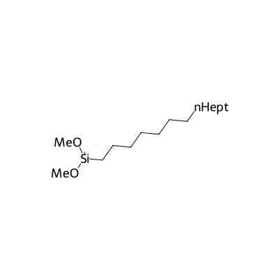 CCCCCCCCCCCCCC[Si](OC)OC